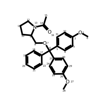 COc1ccc(C(OCC2CCCN2C(C)=O)(c2ccccc2)c2ccc(OC)cc2)cc1